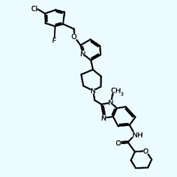 Cn1c(CN2CCC(c3cccc(OCc4ccc(Cl)cc4F)n3)CC2)nc2cc(NC(=O)C3CCCCO3)ccc21